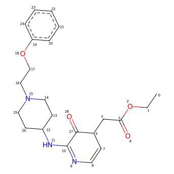 CCOC(=O)CC1C=CN=C(NC2CCN(CCOc3ccccc3)CC2)C1=O